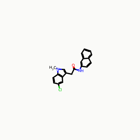 Cn1cc([CH]C(=O)Nc2ccc3ccccc3c2)c2cc(Cl)ccc21